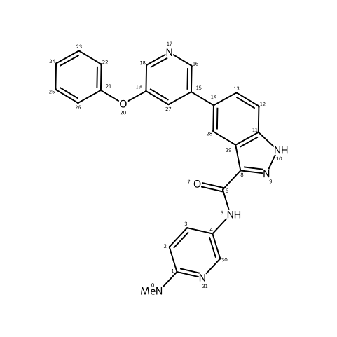 CNc1ccc(NC(=O)c2n[nH]c3ccc(-c4cncc(Oc5ccccc5)c4)cc23)cn1